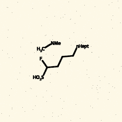 CCCCCCCCCCC(F)S(=O)(=O)O.CNC